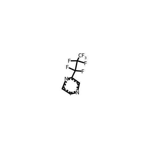 FC(F)(F)C(F)(F)C(F)(F)c1cn[c]cn1